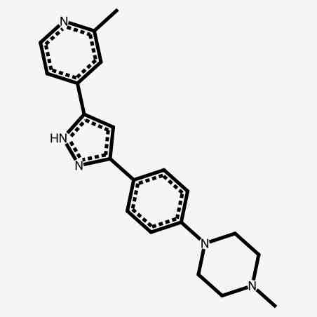 Cc1cc(-c2cc(-c3ccc(N4CCN(C)CC4)cc3)n[nH]2)ccn1